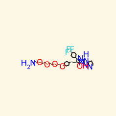 NCCOCCOCCOCCOc1ccc(CCc2c(-c3ccc(C(F)(F)F)cc3)nn(-c3nc4ncccc4[nH]3)c2O)cc1